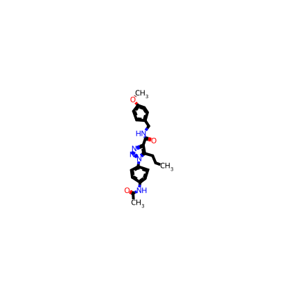 CCCc1c(C(=O)NCc2ccc(OC)cc2)nnn1-c1ccc(NC(C)=O)cc1